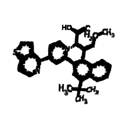 C=C(O)C1C(COC)c2c(cc(C(C)(C)C)c3ccccc23)-c2cc(-c3nccc4sccc34)cc[n+]21